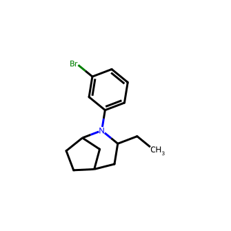 CCC1CC2CCC(C2)N1c1cccc(Br)c1